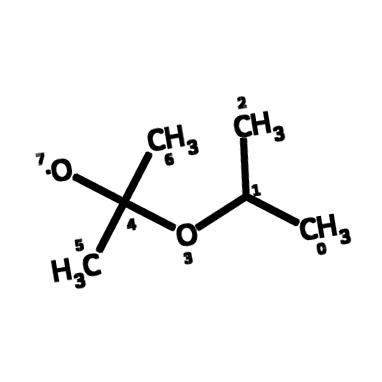 CC(C)OC(C)(C)[O]